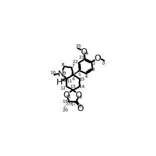 COc1ccc([C@]23CCN(C)[C@H]2CC2(CC3)OC(=O)[C@H](C)O2)cc1OC